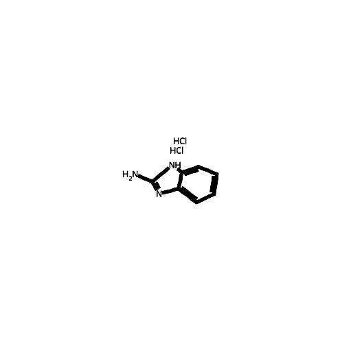 Cl.Cl.Nc1nc2ccccc2[nH]1